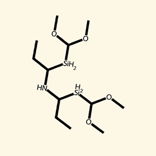 CCC(NC(CC)[SiH2]C(OC)OC)[SiH2]C(OC)OC